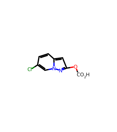 O=C(O)Oc1cc2ccc(Cl)cn2n1